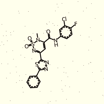 CN1C(C(=O)Nc2ccc(F)c(Cl)c2)=CC(c2nnc(-c3ccccc3)s2)=NS1(=O)=O